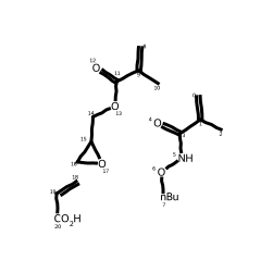 C=C(C)C(=O)NOCCCC.C=C(C)C(=O)OCC1CO1.C=CC(=O)O